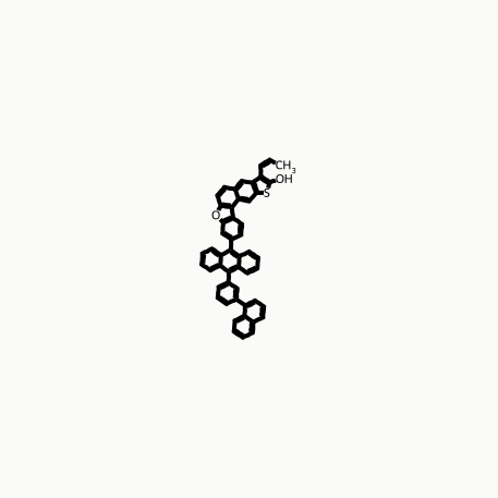 C/C=C\c1c(O)sc2cc3c(ccc4oc5cc(-c6c7ccccc7c(-c7cccc(-c8cccc9ccccc89)c7)c7ccccc67)ccc5c43)cc12